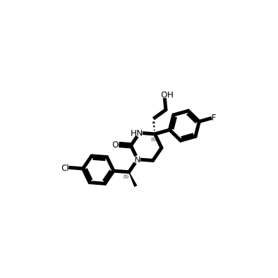 C[C@@H](c1ccc(Cl)cc1)N1CC[C@](CCO)(c2ccc(F)cc2)NC1=O